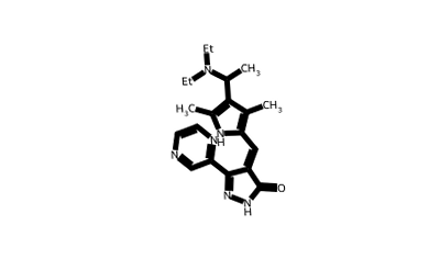 CCN(CC)C(C)c1c(C)[nH]c(/C=C2/C(=O)NN=C2c2cnccn2)c1C